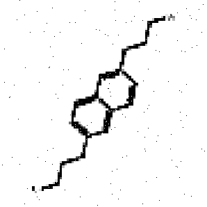 BrCCCc1ccc2cc(CCCBr)ccc2c1